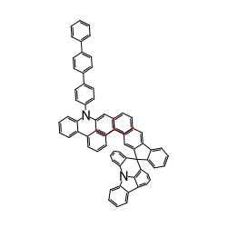 c1ccc(-c2ccc(-c3ccc(N(c4ccc(-c5ccc6c(c5)C5(c7ccccc7-6)c6ccccc6-n6c7ccccc7c7cccc5c76)cc4)c4ccccc4-c4cccc(-c5ccccc5)c4)cc3)cc2)cc1